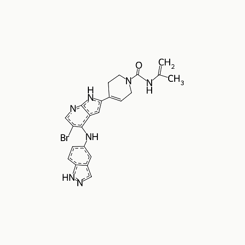 C=C(C)NC(=O)N1CC=C(c2cc3c(Nc4ccc5[nH]ncc5c4)c(Br)cnc3[nH]2)CC1